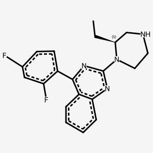 CC[C@H]1CNCCN1c1nc(-c2ccc(F)cc2F)c2ccccc2n1